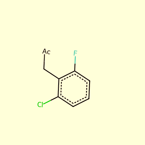 CC(=O)Cc1c(F)cccc1Cl